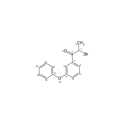 CC(Br)C(=O)c1cccc(Oc2ccccc2)c1